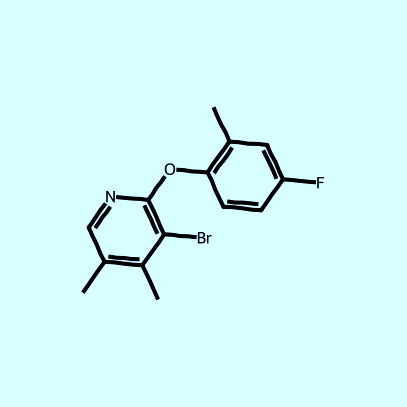 Cc1cc(F)ccc1Oc1ncc(C)c(C)c1Br